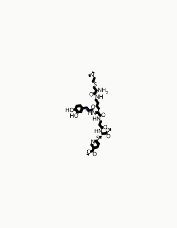 COC(=O)C1C=NC(SC[C@H](NC(=O)CCNC(=O)[C@H](CCCCNC(=O)[C@@H](N)CSCCN(C)C)NC(=O)/C=C/c2ccc(O)c(O)c2)C(=O)OC)=CC1